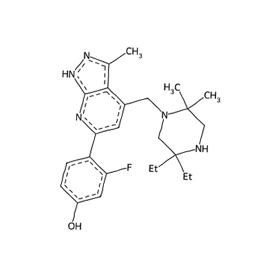 CCC1(CC)CN(Cc2cc(-c3ccc(O)cc3F)nc3[nH]nc(C)c23)C(C)(C)CN1